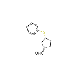 O=C[C@@H]1CC[C@@H](Sc2ccccc2)C1